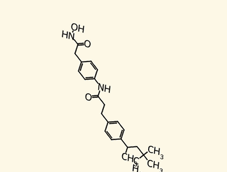 CC(CC(C)(C)C)c1ccc(CCC(=O)Nc2ccc(CC(=O)NO)cc2)cc1